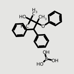 CC(C)(O)C(C)(Oc1ccccc1)C(c1ccccc1)c1ccccc1.OB(O)O